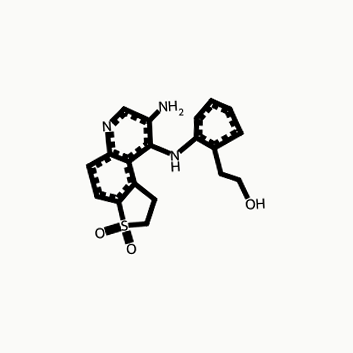 Nc1cnc2ccc3c(c2c1Nc1ccccc1CCO)CCS3(=O)=O